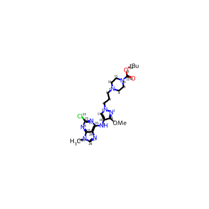 COc1nn(CCCN2CCN(C(=O)OC(C)(C)C)CC2)cc1Nc1nc(Cl)nc2c1ncn2C